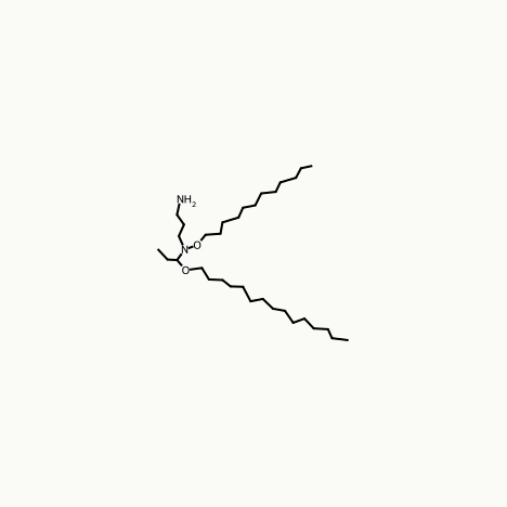 CCCCCCCCCCCCCCCOC(CC)N(CCCN)OCCCCCCCCCCCC